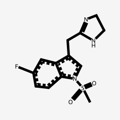 CS(=O)(=O)n1cc(CC2=NCCN2)c2cc(F)ccc21